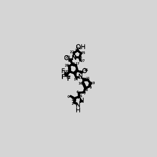 Cc1c[nH]nc1CCc1cccc(N2Cc3c(cc(C(=O)N4CC(O)CC4C)cc3C(F)(F)F)C2=O)c1